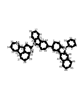 c1ccc(-n2c3ccc(-c4ccc5c(c4)c4ccccc4n5-c4cc5c6c(cccc6n4)-c4cccnc4-5)cc3c3cc4ccccc4cc32)cc1